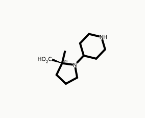 C[C@@]1(C(=O)O)CCCN1C1CCNCC1